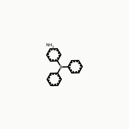 N.c1ccc(B(c2ccccc2)c2ccccc2)cc1